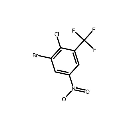 O=[N+]([O-])c1cc(Br)c(Cl)c(C(F)(F)F)c1